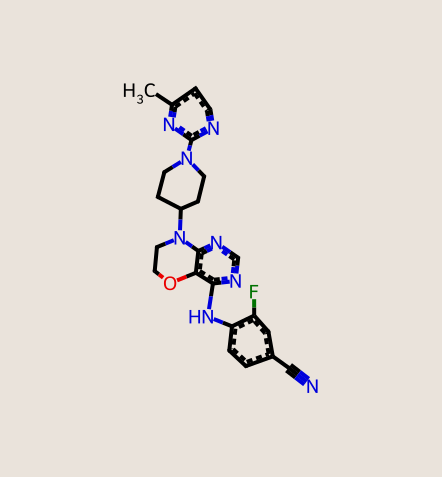 Cc1ccnc(N2CCC(N3CCOc4c(Nc5ccc(C#N)cc5F)ncnc43)CC2)n1